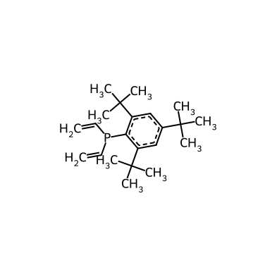 C=CP(C=C)c1c(C(C)(C)C)cc(C(C)(C)C)cc1C(C)(C)C